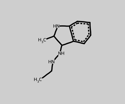 CCNNC1c2ccccc2NC1C